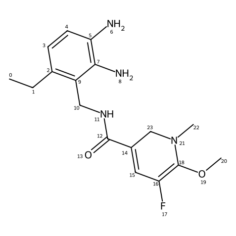 CCc1ccc(N)c(N)c1CNC(=O)C1=CC(F)=C(OC)N(C)C1